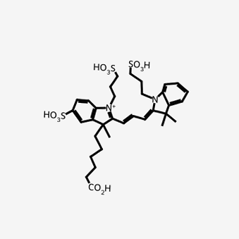 CC1(CCCCCC(=O)O)C(/C=C/C=C2\N(CCCS(=O)(=O)O)c3ccccc3C2(C)C)=[N+](CCCS(=O)(=O)O)c2ccc(S(=O)(=O)O)cc21